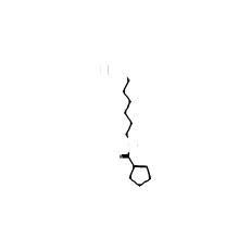 CCCCCCCOC(=O)C1CCCC1